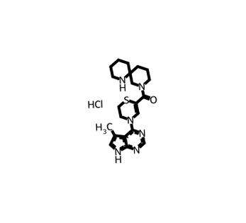 Cc1c[nH]c2ncnc(N3C=C(C(=O)N4CCCC5(CCCCN5)C4)SCC3)c12.Cl